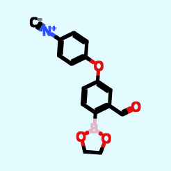 [C-]#[N+]c1ccc(Oc2ccc(B3OCCO3)c(C=O)c2)cc1